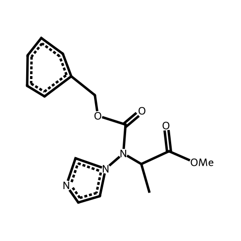 COC(=O)C(C)N(C(=O)OCc1ccccc1)n1ccnc1